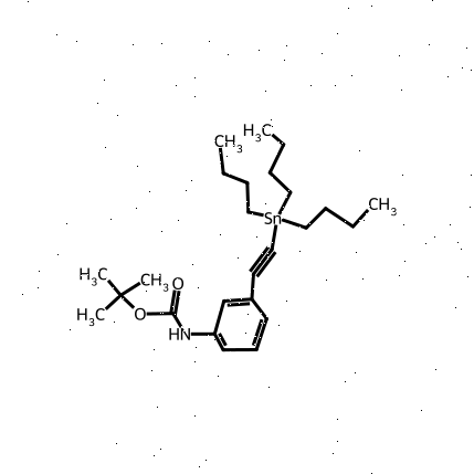 CCC[CH2][Sn]([C]#Cc1cccc(NC(=O)OC(C)(C)C)c1)([CH2]CCC)[CH2]CCC